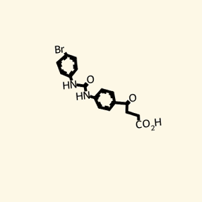 O=C(O)CCC(=O)c1ccc(NC(=O)Nc2ccc(Br)cc2)cc1